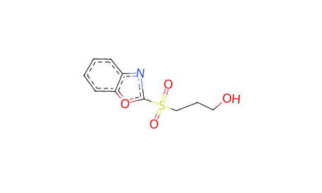 O=S(=O)(CCCO)c1nc2ccccc2o1